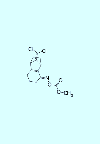 COC(=O)O/N=C1\CCCC2=C1C1CCC2C1=C(Cl)Cl